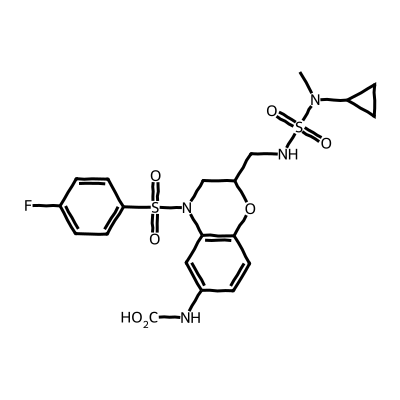 CN(C1CC1)S(=O)(=O)NCC1CN(S(=O)(=O)c2ccc(F)cc2)c2cc(NC(=O)O)ccc2O1